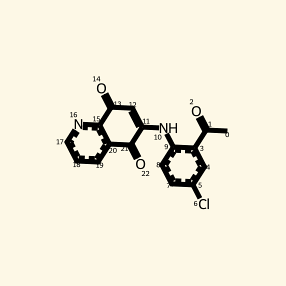 CC(=O)c1cc(Cl)ccc1NC1=CC(=O)c2ncccc2C1=O